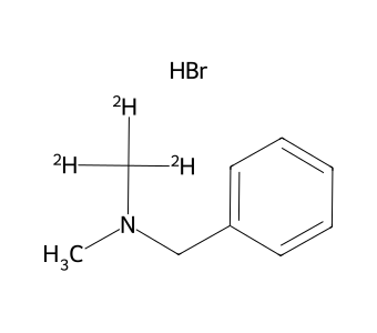 Br.[2H]C([2H])([2H])N(C)Cc1ccccc1